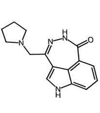 O=C1NN=C(CN2CCCC2)c2c[nH]c3cccc1c23